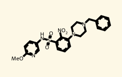 COc1ccc(NS(=O)(=O)c2cccc(N3CCN(Cc4ccccc4)CC3)c2[N+](=O)[O-])cn1